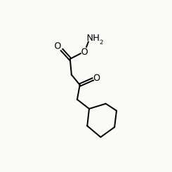 NOC(=O)CC(=O)CC1CCCCC1